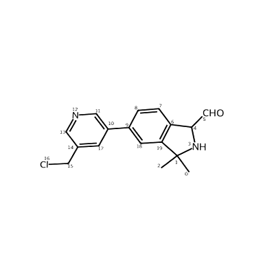 CC1(C)NC(C=O)c2ccc(-c3cncc(CCl)c3)cc21